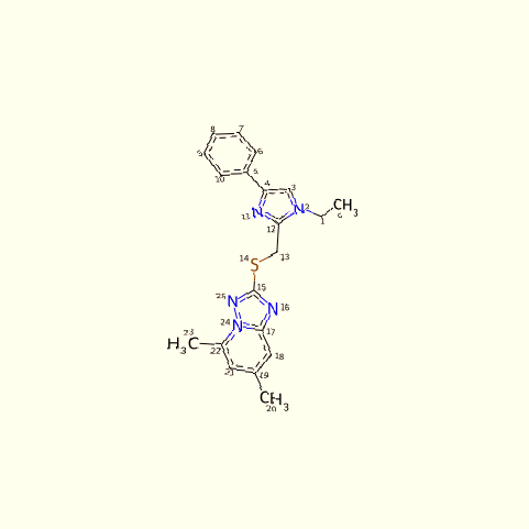 CCn1cc(-c2ccccc2)nc1CSc1nc2cc(C)cc(C)n2n1